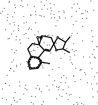 Cc1cccc2c1C1=CC3(CCC1(C=O)CC2)OC(C)C(C)O3